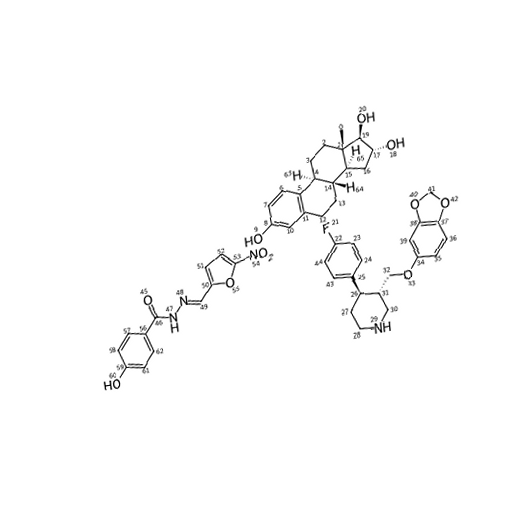 C[C@]12CC[C@@H]3c4ccc(O)cc4CC[C@H]3[C@@H]1C[C@@H](O)[C@@H]2O.Fc1ccc([C@@H]2CCNC[C@H]2COc2ccc3c(c2)OCO3)cc1.O=C(N/N=C/c1ccc([N+](=O)[O-])o1)c1ccc(O)cc1